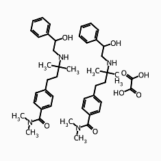 CN(C)C(=O)c1ccc(CCC(C)(C)NCC(O)c2ccccc2)cc1.CN(C)C(=O)c1ccc(CCC(C)(C)NCC(O)c2ccccc2)cc1.O=C(O)C(=O)O